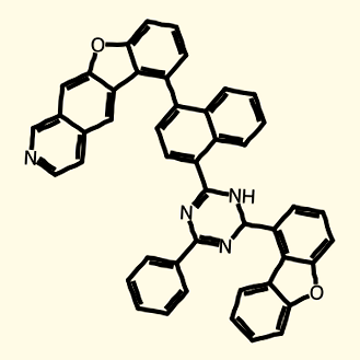 c1ccc(C2=NC(c3cccc4oc5ccccc5c34)NC(c3ccc(-c4cccc5oc6cc7cnccc7cc6c45)c4ccccc34)=N2)cc1